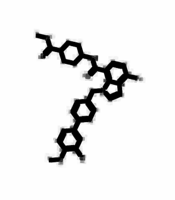 COC(=O)C1CCC(NC(=O)c2ccc(F)c3ccn(Cc4ccc(-c5ccc(OC)c(Cl)c5)cc4)c23)CC1